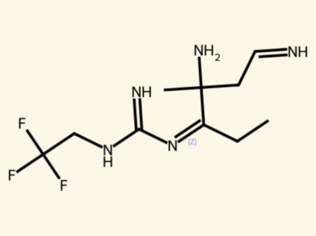 CC/C(=N/C(=N)NCC(F)(F)F)C(C)(N)CC=N